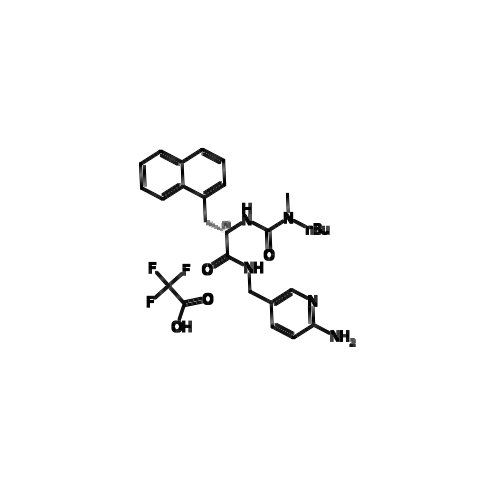 CCCCN(C)C(=O)N[C@@H](Cc1cccc2ccccc12)C(=O)NCc1ccc(N)nc1.O=C(O)C(F)(F)F